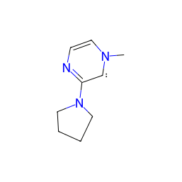 CN1[C]C(N2CCCC2)=NC=C1